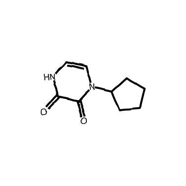 O=c1[nH]ccn(C2CCCC2)c1=O